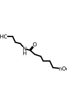 CCCCCCCCCCCCCC(=O)NCCCC=O